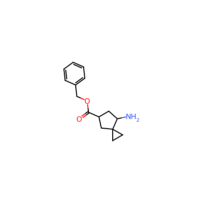 NC1CC(C(=O)OCc2ccccc2)CC12CC2